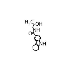 CC(O)CNC(=O)c1ccc2[nH]c3c(c2c1)CCCC3